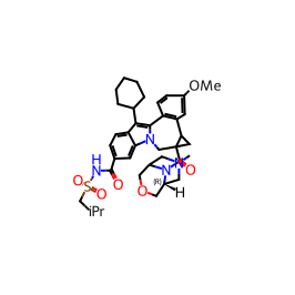 COc1ccc2c(c1)C1CC1(C(=O)N1C3COC[C@H]1CN(C)C3)Cn1c-2c(C2CCCCC2)c2ccc(C(=O)NS(=O)(=O)CC(C)C)cc21